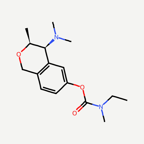 CCN(C)C(=O)Oc1ccc2c(c1)[C@H](N(C)C)[C@H](C)OC2